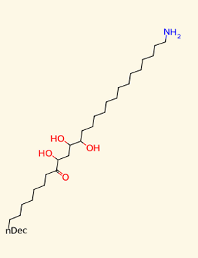 CCCCCCCCCCCCCCCCCC(=O)C(O)CC(O)C(O)CCCCCCCCCCCCCCN